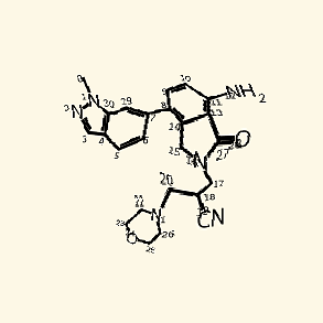 Cn1ncc2ccc(-c3ccc(N)c4c3CN(CC(C#N)CN3CCOCC3)C4=O)cc21